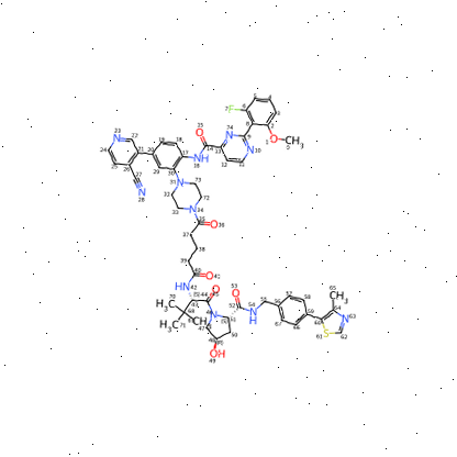 COc1cccc(F)c1-c1nccc(C(=O)Nc2ccc(-c3cnccc3C#N)cc2N2CCN(C(=O)CCCC(=O)N[C@H](C(=O)N3C[C@H](O)C[C@H]3C(=O)NCc3ccc(-c4scnc4C)cc3)C(C)(C)C)CC2)n1